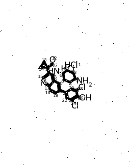 Cl.Cl.N[C@H]1CC[C@H](Nc2c(C3(C=O)CC3)cnc3ccc(-c4cc(Cl)c(O)c(Cl)c4)cc23)CC1